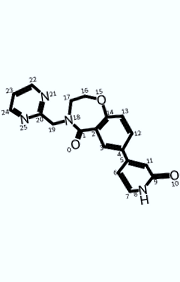 O=C1c2cc(-c3cc[nH]c(=O)c3)ccc2OCCN1Cc1ncccn1